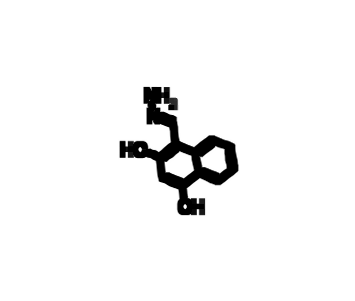 NN=Cc1c(O)cc(O)c2ccccc12